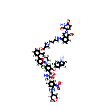 O=C1CCC(N2Cc3c(NCCCCN4CC(COc5cccc(-c6ccc(Cl)cc6)c5CN5CCN(c6ccc(C(=O)NS(=O)(=O)c7ccc(NCC8CCOCC8)c([N+](=O)[O-])c7)c(Oc7cnc8[nH]ccc8c7)c6)CC5)C4)cccc3C2=O)C(=O)N1